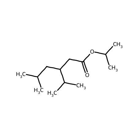 CC(C)CC(CC(=O)OC(C)C)C(C)C